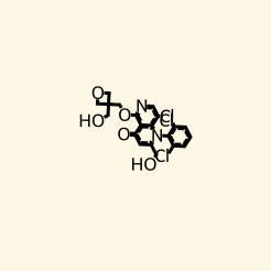 O=c1cc(CO)n(-c2c(Cl)cccc2Cl)c2c(Cl)cnc(OCC3(CO)COC3)c12